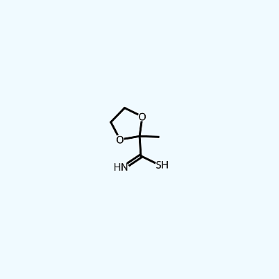 CC1(C(=N)S)OCCO1